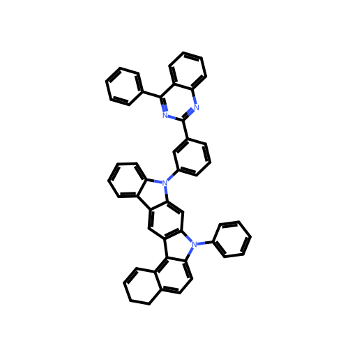 C1=Cc2c(ccc3c2c2cc4c5ccccc5n(-c5cccc(-c6nc(-c7ccccc7)c7ccccc7n6)c5)c4cc2n3-c2ccccc2)CC1